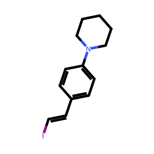 I/C=C/c1ccc(N2CCCCC2)cc1